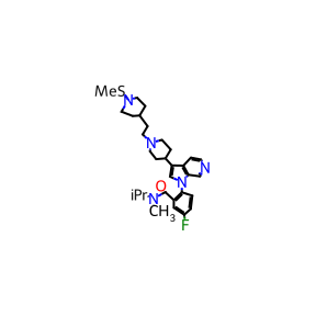 CSN1CCC(CCN2CCC(c3cn(-c4ccc(F)cc4C(=O)N(C)C(C)C)c4cnccc34)CC2)CC1